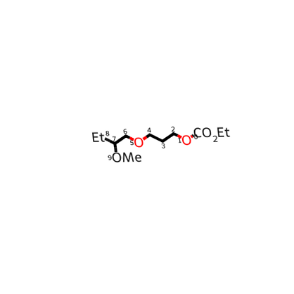 CCOC(=O)OCCCOCC(CC)OC